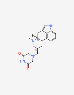 CN1C[C@H](CN2CC(=O)NC(=O)C2)CC2c3cccc4[nH]cc(c34)C[C@H]21